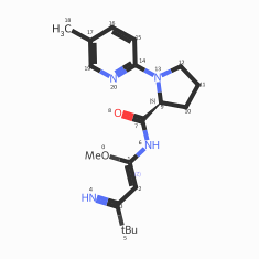 CO/C(=C\C(=N)C(C)(C)C)NC(=O)[C@@H]1CCCN1c1ccc(C)cn1